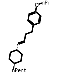 CCCCC[C@H]1CC[C@H](/C=C/CCc2ccc(OCCC)cc2)CC1